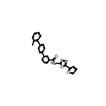 Cc1ccccc1-c1ccc(-c2cccc(C(=O)Nc3nnc(-c4ccco4)o3)c2)cc1